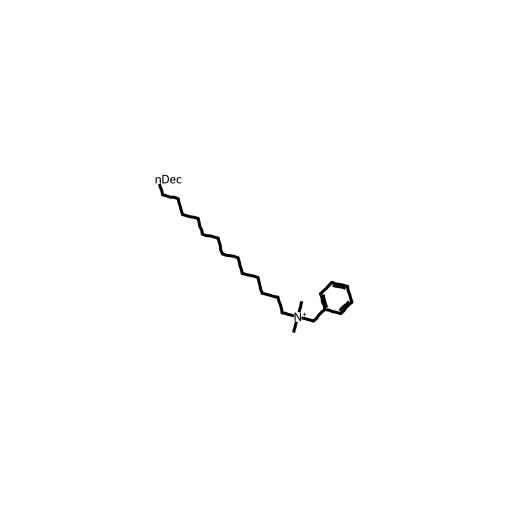 CCCCCCCCCCCCCCCCCCCCCCC[N+](C)(C)Cc1ccccc1